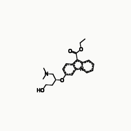 CCOC(=O)c1c2ccc(OC(CCO)CN(C)C)cc2n2ccccc12